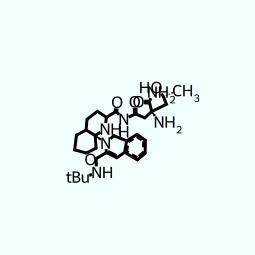 C[C@@H](O)C[C@](N)(CC(=O)NC(=O)C1CCC2CCCC[C@@]2(N2Cc3ccccc3C=C2C(=O)NC(C)(C)C)N1)C(N)=O